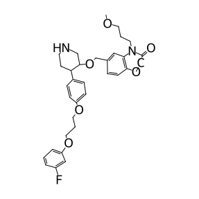 COCCCN1C(=O)COc2ccc(COC3CNCCC3c3ccc(OCCCOc4cccc(F)c4)cc3)cc21